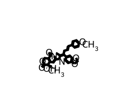 CC[C@@]1(O)C(=O)OCc2c1cc1n(c2=O)Cc2c-1nc1cc3c(cc1c2C/C=C/c1ccc(OC)cc1)OCO3